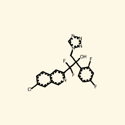 OC(Cn1cnnn1)(c1ccc(F)cc1F)C(F)(F)c1cc2ccc(Cl)cc2cn1